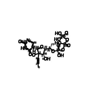 CC#CC1(O)[C@@H](O)[C@@H]([C@H](C)OP(=O)(O)OP(=O)(O)OP(=O)(O)O)O[C@H]1n1cnc(=O)[nH]c1=O